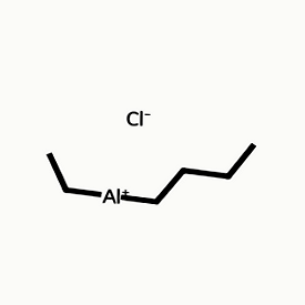 CCC[CH2][Al+][CH2]C.[Cl-]